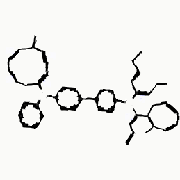 C=C/C=C(\C1=C(C)C=CC=CC1)N(/C(C=CCC)=C/CC)c1ccc(-c2ccc(N(/C3=C/C=C\C(C)/C=C\C=C/C3)c3ccccc3)cc2)cc1